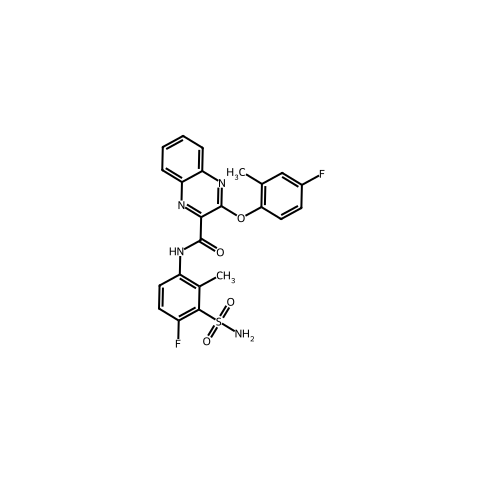 Cc1cc(F)ccc1Oc1nc2ccccc2nc1C(=O)Nc1ccc(F)c(S(N)(=O)=O)c1C